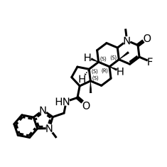 CN1C(=O)C(F)=C[C@@]2(C)C1CC[C@@H]1[C@H]2CC[C@]2(C)C(C(=O)NCc3nc4ccccc4n3C)CC[C@@H]12